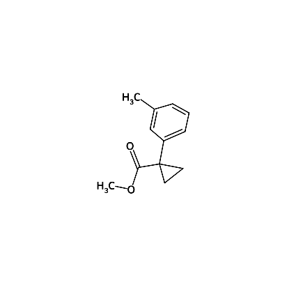 COC(=O)C1(c2cccc(C)c2)CC1